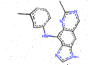 Cc1cccc(Nc2c3nc(C)ncc3cc3[nH]cnc23)c1